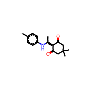 [CH2]c1ccc(NC(C)=C2C(=O)CC(C)(C)CC2=O)cc1